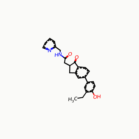 CCc1cc(-c2ccc3c(c2)CC(CC(=O)NCc2ccccn2)C3=O)ccc1O